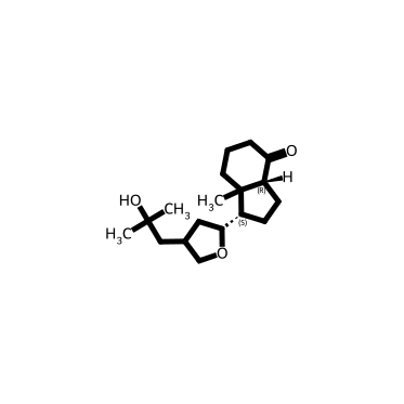 CC(C)(O)CC1COC([C@H]2CC[C@H]3C(=O)CCCC23C)C1